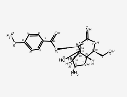 N=C1N[C@@H](CO)[C@@H]2N[C@H](N)N[C@]23N1C[C@H](OC(=O)c1ccc(OC(F)(F)F)cc1)C3(O)O